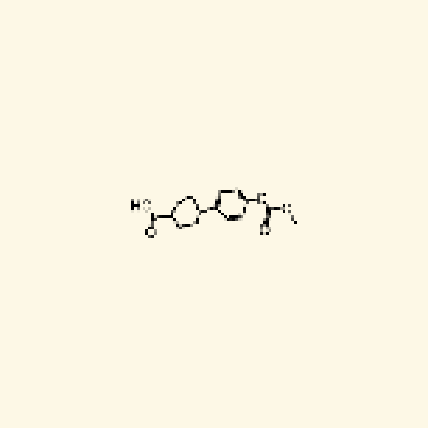 COC(=O)Oc1ccc(C2CCC(C(=O)O)CC2)cc1